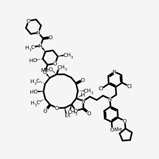 CC[C@H]1OC(=O)[C@H](C)[C@@H](O)[C@H](C)[C@@H](OC2O[C@H](C)C[C@H](N(C)C(=O)N3CCOCC3)[C@H]2O)[C@](C)(OC)CCC(=O)[C@H](C)[C@H]2N(CCCN(Cc3c(Cl)cncc3Cl)c3ccc(OC)c(OC4CCCC4)c3)C(=O)O[C@]12C